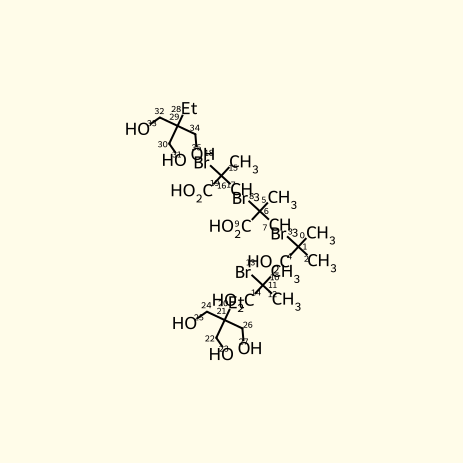 CC(C)(Br)C(=O)O.CC(C)(Br)C(=O)O.CC(C)(Br)C(=O)O.CC(C)(Br)C(=O)O.CCC(CO)(CO)CO.CCC(CO)(CO)CO